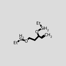 C=CC(CCO[SiH2]CC)O[SiH2]CC